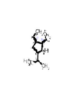 C/C=c1/cc(C(C)C)[nH]/c1=C/C